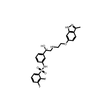 Cc1n[nH]c2cc(OCCNC[C@H](O)c3cccc(NS(=O)(=O)c4cccc(F)c4F)c3)ccc12